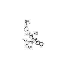 C=CCN(CCC(=O)O)C(=O)[C@H](CC(=O)NC[C@@H]1CCCN(C=NN)C1)NS(=O)(=O)c1ccc2ccccc2c1.Cl